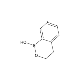 OB1OCCc2cc[c]cc21